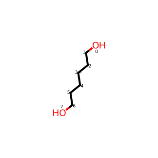 OCC[CH]CCCO